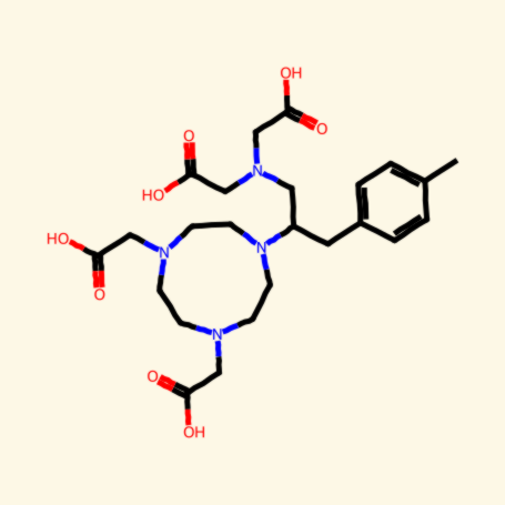 Cc1ccc(CC(CN(CC(=O)O)CC(=O)O)N2CCN(CC(=O)O)CCN(CC(=O)O)CC2)cc1